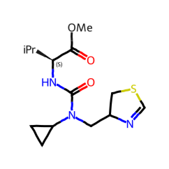 COC(=O)[C@@H](NC(=O)N(CC1CSC=N1)C1CC1)C(C)C